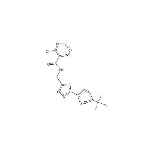 O=C(NCc1cc(-c2ccc(C(F)(F)F)cc2)no1)c1cccnc1Cl